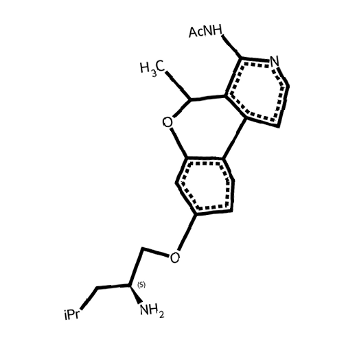 CC(=O)Nc1nccc2c1C(C)Oc1cc(OC[C@@H](N)CC(C)C)ccc1-2